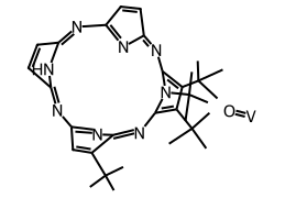 CC(C)(C)C1=Cc2nc1nc1c(C(C)(C)C)c(C(C)(C)C)c(nc3nc(nc4ccc(n2)[nH]4)C=C3)n1C(C)(C)C.[O]=[V]